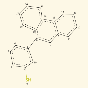 Sc1cccc(-c2cc3ccccc3c3ccccc23)c1